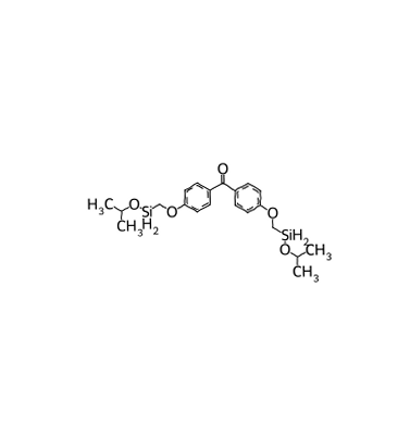 CC(C)O[SiH2]COc1ccc(C(=O)c2ccc(OC[SiH2]OC(C)C)cc2)cc1